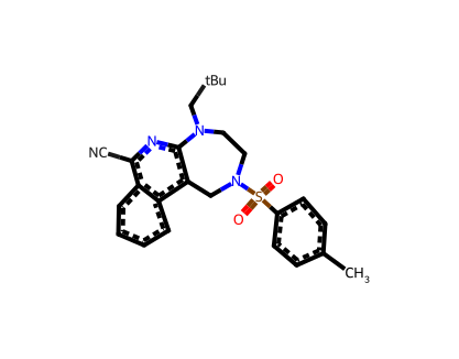 Cc1ccc(S(=O)(=O)N2CCN(CC(C)(C)C)c3nc(C#N)c4ccccc4c3C2)cc1